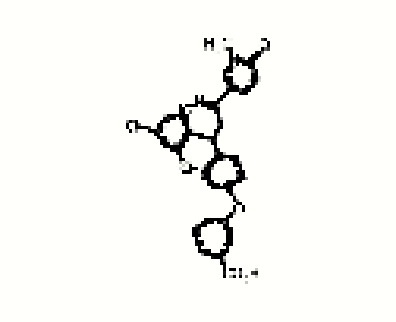 Cc1cc(Cl)ccc1C(C/C(=N\O)c1ccc(=O)n(C)c1)c1ccc(Oc2cccc(C(=O)O)c2)cc1